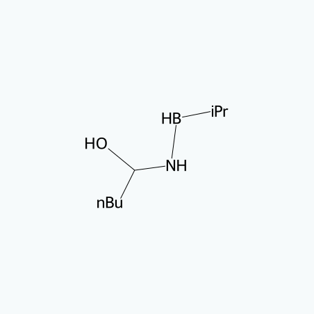 CCCCC(O)NBC(C)C